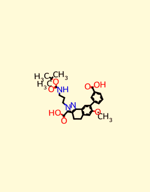 COc1cc2c(cc1-c1cccc(C(=O)O)c1)-c1nn(CCCNC(=O)OC(C)(C)C)c(C(=O)O)c1CC2